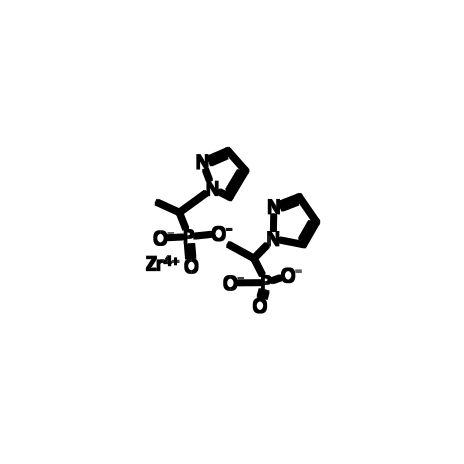 CC(n1cccn1)P(=O)([O-])[O-].CC(n1cccn1)P(=O)([O-])[O-].[Zr+4]